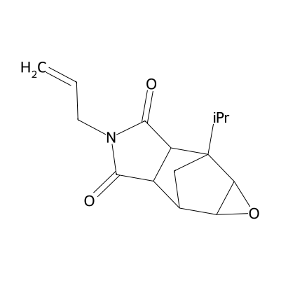 C=CCN1C(=O)C2C3CC(C(C)C)(C4OC34)C2C1=O